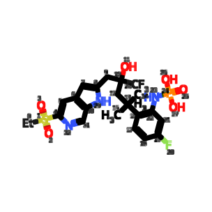 CCS(=O)(=O)c1cc2cc(CC(O)(CC(C)(C)c3ccc(F)cc3NP(=O)(O)O)C(F)(F)F)[nH]c2cn1